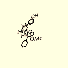 COC(=O)C(NC(=O)[C@H]1C[C@@](C)(c2cccc(O)c2)[C@@H](C)CN1)C1CCCCC1